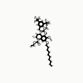 CCCCCCCCCCOc1cc2c(cc1OC)[C@@H](N(Cc1cc(C(F)(F)F)cc(C(F)(F)F)c1)C(=O)OC)C[C@@H](C)N2C(=O)OCC